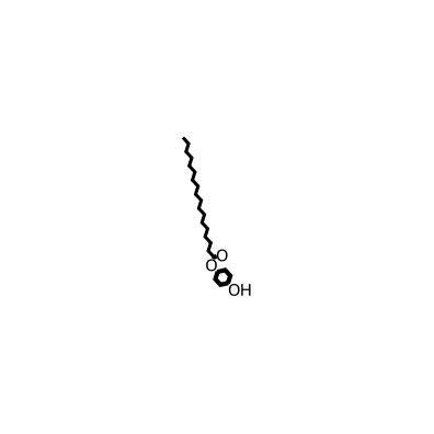 CCCCCCCCCCCCCCCCCC(=O)Oc1ccc(O)cc1